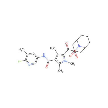 Cc1cc(NC(=O)c2c(C)c(C(=O)C(=O)N3C4CCCC3CC(=O)C4)n(C)c2C)cnc1F